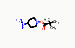 CC(C)(C)C(=O)ON1CCC(NN)CC1